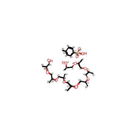 CC(O)COC(C)COC(C)COC(C)COC(C)COC(C)COC(C)COC(C)CO.Cc1ccc(S(=O)(=O)O)cc1